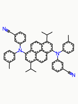 Cc1cccc(N(c2cccc(C#N)c2)c2cc(C(C)C)c3ccc4c(N(c5cccc(C)c5)c5cccc(C#N)c5)cc(C(C)C)c5ccc2c3c54)c1